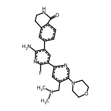 CN(C)Cc1cc(-c2cc(-c3ccc4c(c3)CCNC4=O)c(N)nc2F)ncc1N1CCOCC1